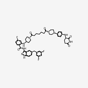 O=C1CCC(Nc2ccc(N3CCN(C(=O)CCCCCC(=O)N4CCC(Nc5cc(F)ccc5C(=O)Nc5n[nH]c6ccc(Cc7cc(F)cc(F)c7)cc56)CC4)CC3)cc2)C(=O)N1